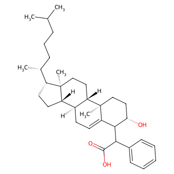 CC(C)CCC[C@@H](C)[C@H]1CC[C@H]2[C@@H]3CC=C4C(C(C(=O)O)c5ccccc5)[C@@H](O)CC[C@]4(C)[C@H]3CC[C@]12C